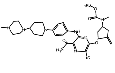 C=C1C[C@H](N(C)C(=O)OC(C)(C)C)C[C@H]1Oc1nc(Nc2ccc(N3CCC(N4CCN(C)CC4)CC3)cc2)c(C(N)=O)nc1CC